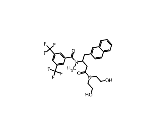 CN(C(=O)c1cc(C(F)(F)F)cc(C(F)(F)F)c1)C(CC(=O)N(CCO)CCO)Cc1ccc2ccccc2c1